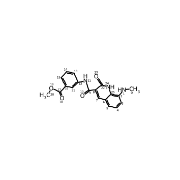 CNc1cccc2cc(C(=O)Nc3cccc(C(=O)OC)c3)c(=O)[nH]c12